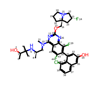 CC(O)C(C)(C)N[C@H](C)CN(C)c1nc(OC[C@@]23CCCN2C[C@H](F)C3)nc2c(F)c(-c3cc(O)cc4cccc(Cl)c34)c(F)cc12